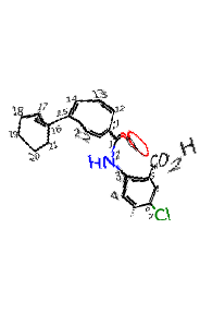 O=C(Nc1ccc(Cl)cc1C(=O)O)c1cccc(C2=CCCCC2)c1